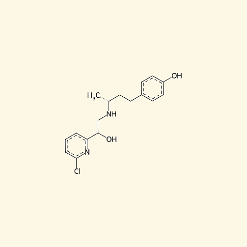 C[C@H](CCc1ccc(O)cc1)NCC(O)c1cccc(Cl)n1